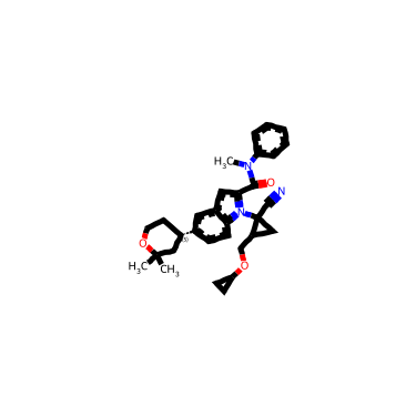 CN(C(=O)c1cc2cc([C@H]3CCOC(C)(C)C3)ccc2n1C1(C#N)CC1COC1CC1)c1ccccc1